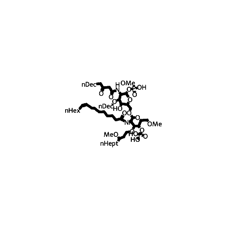 CCCCCC/C=C\CCCCCCCC(=O)NC1C(OCC2OC(OP(=O)(O)OC)C(NC(=O)CC(=O)CCCCCCCCCCC)C(OCCCCCCCCCC)C2O)OC(COC)C(OP(=O)(O)O)C1OCCC(CCCCCCC)OC